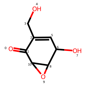 O=C1C(CO)=CC(O)C2OC12